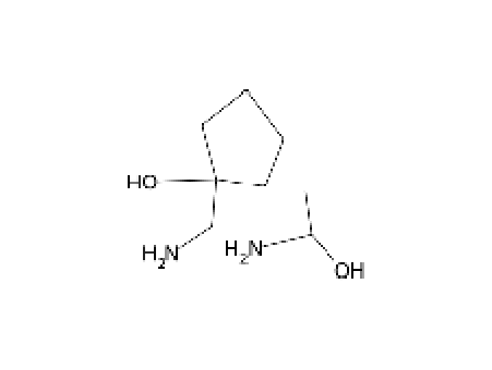 CC(N)O.NCC1(O)CCCC1